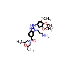 COc1cc(Nc2nc3ccc(C(=O)N4CC(C)OC(C)C4)cc3n2CCCN)cc(OC)c1OC